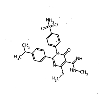 CNC(=N)c1c(SC)nc(-c2ccc(C(C)C)cc2)n(-c2ccc(S(N)(=O)=O)cc2)c1=O